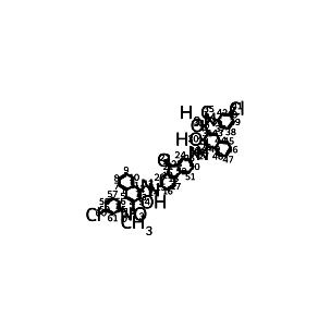 CN(C(=O)c1cc2ccccc2c(N=Nc2ccc3c(c2)C(=O)c2cc(N=Nc4c(O)c(C(=O)N(C)c5cccc(Cl)c5)cc5ccccc45)ccc2-3)c1O)c1cccc(Cl)c1